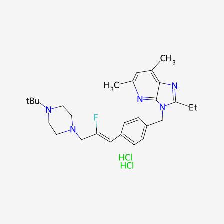 CCc1nc2c(C)cc(C)nc2n1Cc1ccc(C=C(F)CN2CCN(C(C)(C)C)CC2)cc1.Cl.Cl